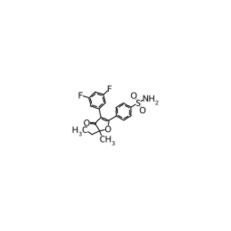 CCC1(C)OC(c2ccc(S(N)(=O)=O)cc2)=C(c2cc(F)cc(F)c2)C1=O